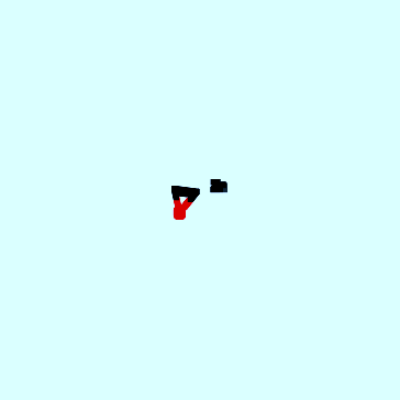 C1=CO1.[Zn]